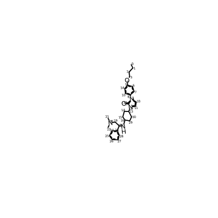 CCCCOc1ccc(-n2ccn(C3CCC(NC(CN(C)C)c4ccccc4)CC3)c2=O)cc1